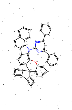 c1ccc(-c2cc(-c3ccccc3)nc(-n3c4c5c(ccc4c4ccc6ccccc6c43)C3(c4ccccc4O5)c4ccccc4-c4ccccc43)n2)cc1